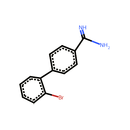 N=C(N)c1ccc(-c2ccc[c]c2Br)cc1